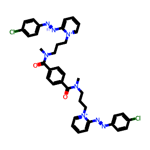 CN(CCC[n+]1ccccc1N=Nc1ccc(Cl)cc1)C(=O)c1ccc(C(=O)N(C)CCC[n+]2ccccc2/N=N/c2ccc(Cl)cc2)cc1